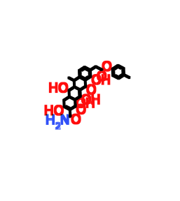 Cc1ccc(OC(=O)Cc2ccc3c(c2O)C(=O)C2=C(O)C4(O)C(=O)C(C(N)=O)=C(O)CC4C(O)C2C3C)cc1